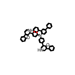 C1=Cc2c(oc3ccccc23)C(c2ccc(N(c3ccc(C4=CNCc5c4oc4ccccc54)cc3)c3ccc(-c4ccccc4)cc3-c3ccccc3)cc2)N1